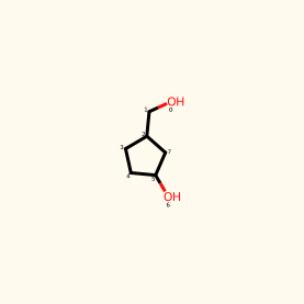 OCC1CCC(O)C1